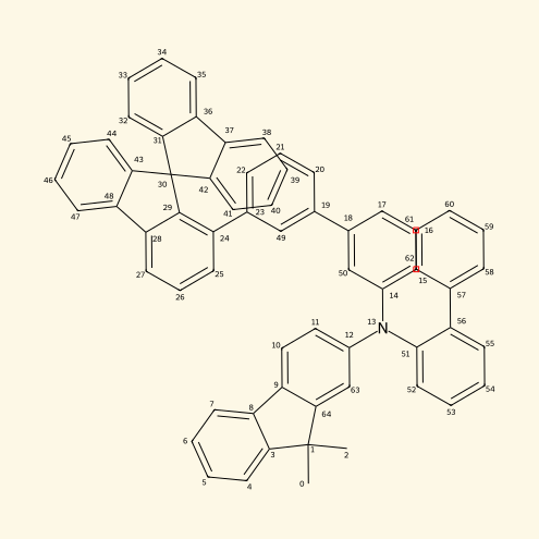 CC1(C)c2ccccc2-c2ccc(N(c3cccc(-c4cccc(-c5cccc6c5C5(c7ccccc7-c7ccccc75)c5ccccc5-6)c4)c3)c3ccccc3-c3ccccc3)cc21